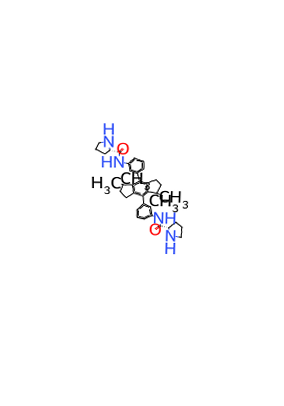 CC1(C)CCc2c(-c3cccc(NC(=O)[C@@H]4CCCN4)c3)c3c(c(-c4cccc(NC(=O)[C@@H]5CCCN5)c4)c21)CCC3(C)C